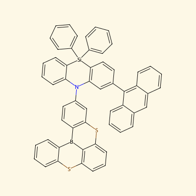 c1ccc([Si]2(c3ccccc3)c3ccccc3N(c3ccc4c(c3)Sc3cccc5c3B4c3ccccc3S5)c3cc(-c4c5ccccc5cc5ccccc45)ccc32)cc1